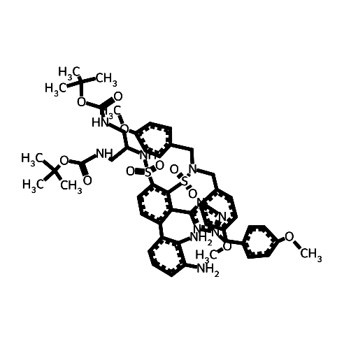 COc1ccc(CN(Cc2ccc(OC)cc2)S(=O)(=O)c2c(S(=O)(=O)NC(CNC(=O)OC(C)(C)C)CNC(=O)OC(C)(C)C)ccc(-c3cccc(N)c3N)c2-c2nnn(Cc3ccc(OC)cc3)n2)cc1